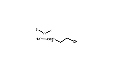 CCOC(C)=O.CCOCC.OCCO